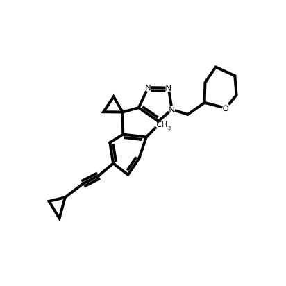 Cc1ccc(C#CC2CC2)cc1C1(c2cn(CC3CCCCO3)nn2)CC1